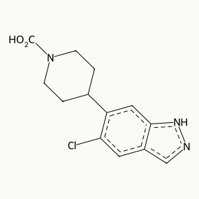 O=C(O)N1CCC(c2cc3[nH]ncc3cc2Cl)CC1